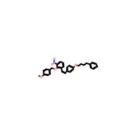 COc1ccc(COc2c(/C=C\c3ccc(OCCCCc4ccccc4)cc3)cccc2[N+](=O)[O-])cc1